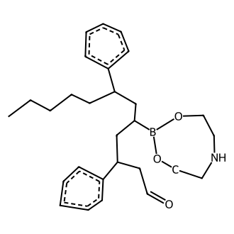 CCCCCC(CC(CC(CC=O)c1ccccc1)B1OCCNCCO1)c1ccccc1